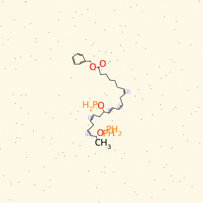 CC(/C=C\C/C=C\CC(/C=C/C=C\C/C=C\CCCCCC(=O)OCc1ccccc1)OP)OPP